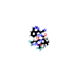 CC1(C)[C@@H]2[C@@H](C(=O)NC(C#N)c3nncc4ccccc34)N(C(=O)[C@H](CC(F)F)NC(=O)C(F)(F)F)C[C@@H]21